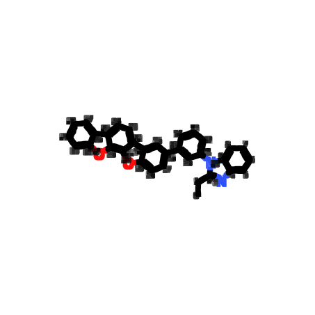 CCc1nc2ccccc2n1-c1cccc(-c2ccc3oc4c(ccc5c6ccccc6oc54)c3c2)c1